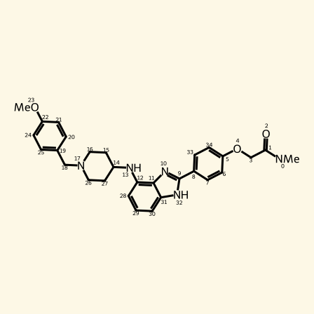 CNC(=O)COc1ccc(-c2nc3c(NC4CCN(Cc5ccc(OC)cc5)CC4)cccc3[nH]2)cc1